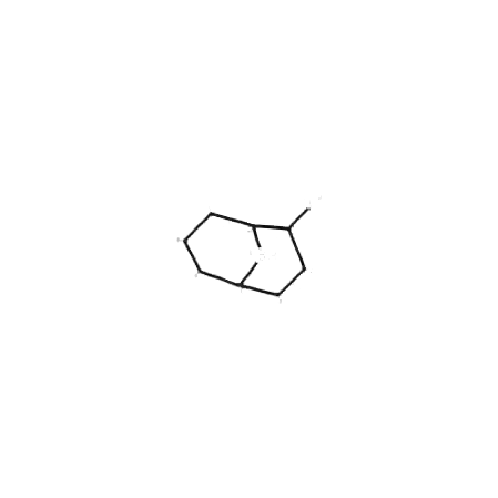 IC1CCC2BC1CCC2